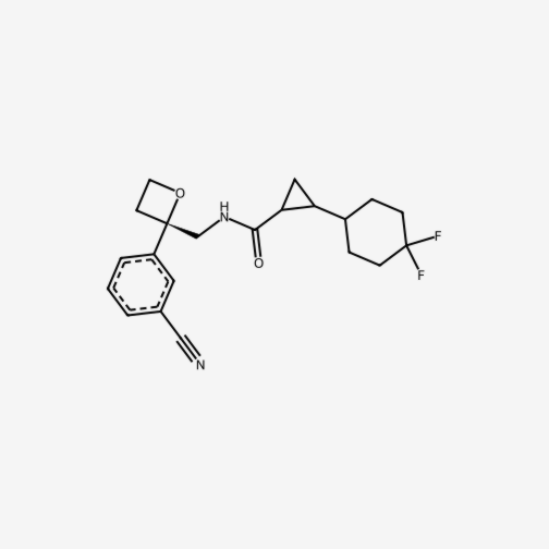 N#Cc1cccc([C@]2(CNC(=O)C3CC3C3CCC(F)(F)CC3)CCO2)c1